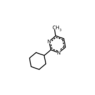 Cc1ccnc(C2CCCCC2)n1